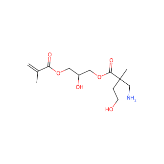 C=C(C)C(=O)OCC(O)COC(=O)C(C)(CN)CCO